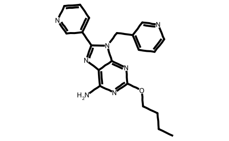 CCCCOc1nc(N)c2nc(-c3cccnc3)n(Cc3cccnc3)c2n1